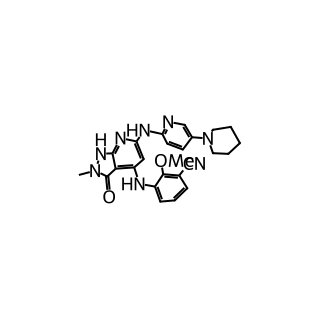 COc1c(C#N)cccc1Nc1cc(Nc2ccc(N3CCCCC3)cn2)nc2[nH]n(C)c(=O)c12